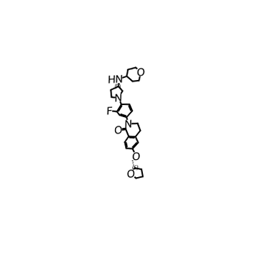 O=C1c2ccc(OC[C@@H]3CCCO3)cc2CCN1c1ccc(N2CC[C@@H](NC3CCOCC3)C2)c(F)c1